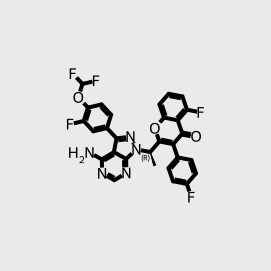 C[C@H](c1oc2cccc(F)c2c(=O)c1-c1ccc(F)cc1)n1nc(-c2ccc(OC(F)F)c(F)c2)c2c(N)ncnc21